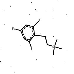 C[Si](C)(C)C[CH]c1c(F)cc(F)cc1F